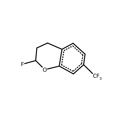 FC1CCc2ccc(C(F)(F)F)cc2O1